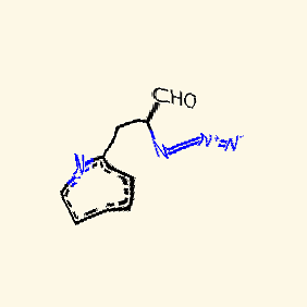 [N-]=[N+]=NC(C=O)Cc1ccccn1